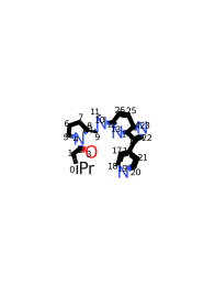 CC(C)CC(=O)N1CCC[C@H]1CN(C)C1=NC2C(c3ccncc3)=CN=C2C=C1